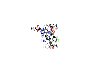 CNc1cc(-c2ccc(Cl)c3c(NS(C)(=O)=O)nn(C)c23)c([C@H](Cc2cc(F)cc(F)c2)NC(=O)OC(C)(C)C)nc1C#CC(C)(C)O